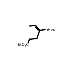 CC=C(CCCCCC)CCC(=O)OCC